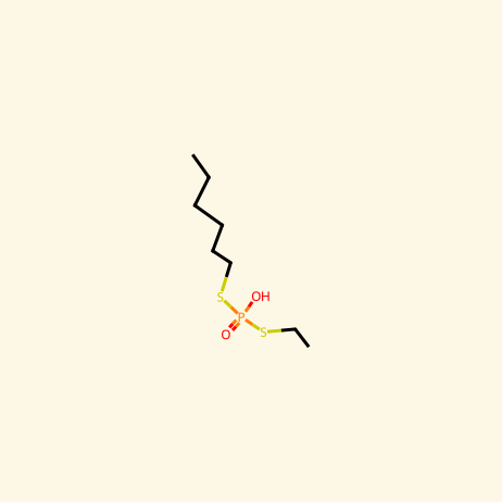 CCCCCCSP(=O)(O)SCC